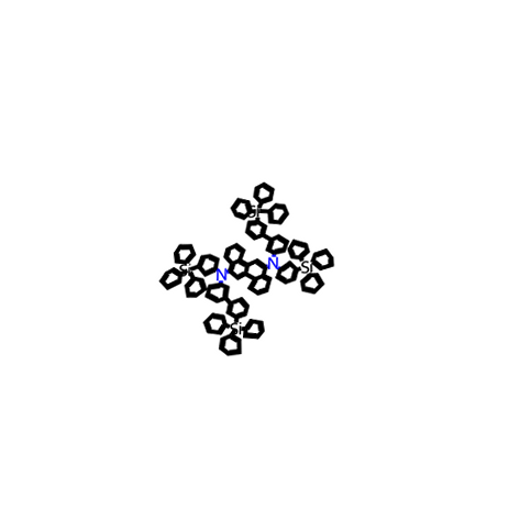 c1ccc([Si](c2ccccc2)(c2ccccc2)c2cccc(-c3cccc(N(c4cccc([Si](c5ccccc5)(c5ccccc5)c5ccccc5)c4)c4cc5c6ccccc6c(N(c6cccc(-c7cccc([Si](c8ccccc8)(c8ccccc8)c8ccccc8)c7)c6)c6cccc([Si](c7ccccc7)(c7ccccc7)c7ccccc7)c6)cc5c5ccccc45)c3)c2)cc1